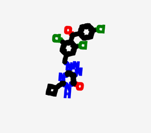 O=C(c1ccc(Cl)cc1)c1c(Cl)cc(Cn2nnc3c(=O)[nH]c(C4CCC4)nc32)cc1Cl